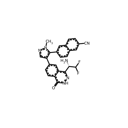 Cn1ncc(-c2ccc3c(=O)[nH]nc([C@H](N)C(F)F)c3c2)c1-c1ccc2cc(C#N)ccc2c1